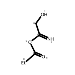 CCC(=O)OC(=N)CO